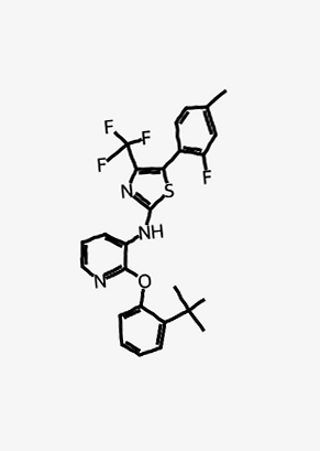 Cc1ccc(-c2sc(Nc3cccnc3Oc3ccccc3C(C)(C)C)nc2C(F)(F)F)c(F)c1